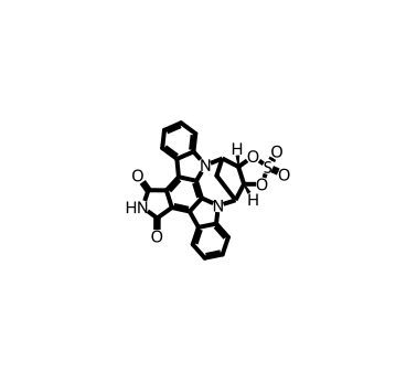 O=C1NC(=O)c2c1c1c3ccccc3n3c1c1c2c2ccccc2n1C1CC3[C@H]2OS(=O)(=O)O[C@@H]12